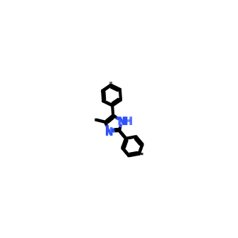 Cc1nc(-c2cc[c]cc2)[nH]c1-c1cc[c]cc1